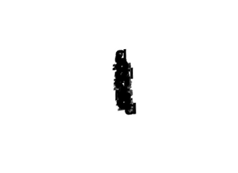 ClCc1ccc(Cl)c(CN2CCCN(c3nc4ccc(Cl)cc4s3)CC2)c1